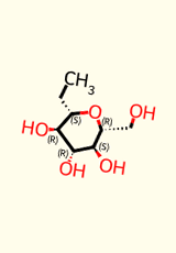 CC[C@@H]1O[C@H](CO)[C@@H](O)[C@H](O)[C@H]1O